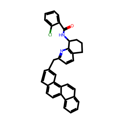 O=C(NC1CCCc2ccc(Cc3ccc4ccc5c6ccccc6ccc5c4c3)nc21)c1ccccc1Cl